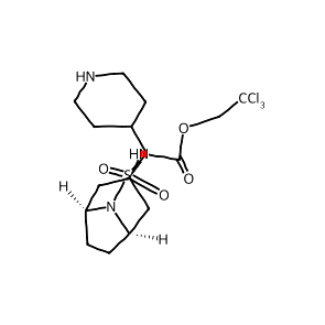 O=C(N[C@H]1C[C@H]2CC[C@@H](C1)N2S(=O)(=O)CC1CCNCC1)OCC(Cl)(Cl)Cl